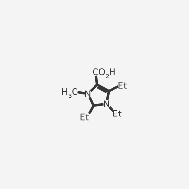 CCC1=C(C(=O)O)N(C)C(CC)N1CC